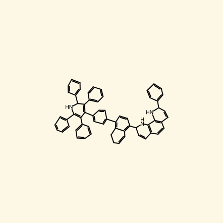 C1=Cc2c(C3C=Cc4ccc5c(c4N3)NC(c3ccccc3)C=C5)ccc(-c3ccc(C4=C(c5ccccc5)C(c5ccccc5)NC(c5ccccc5)=C4c4ccccc4)cc3)c2CC1